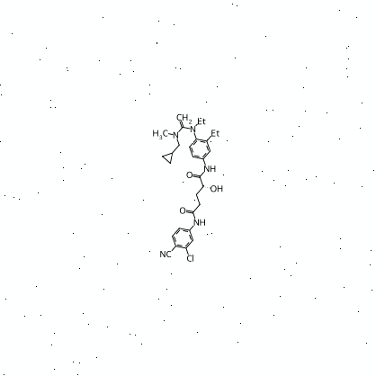 C=C(N(C)CC1CC1)N(CC)c1ccc(NC(=O)[C@H](O)CCC(=O)Nc2ccc(C#N)c(Cl)c2)cc1CC